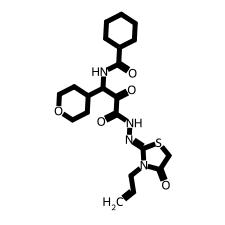 C=CCN1C(=O)CSC1=NNC(=O)C(=O)C(NC(=O)C1CCCCC1)C1CCOCC1